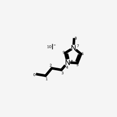 CCCC[n+]1ccn(C)c1.[I-]